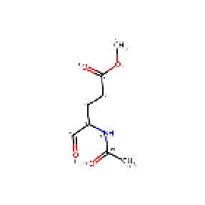 COC(=O)CCC(C=O)NC(C)=O